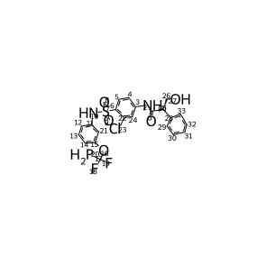 O=C(Nc1ccc(S(=O)(=O)Nc2cccc(OC(F)(F)P)c2)c(Cl)c1)[C@@H](CO)c1ccccc1